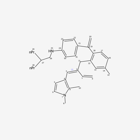 C=C/C(=C\c1ccn(C)c1C)Cc1cc(C)ccc1C(=C)c1ccc(NCC(CCC)CCC)cc1